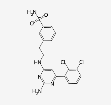 Nc1nc(NCCc2cccc(S(N)(=O)=O)c2)cc(-c2cccc(Cl)c2Cl)n1